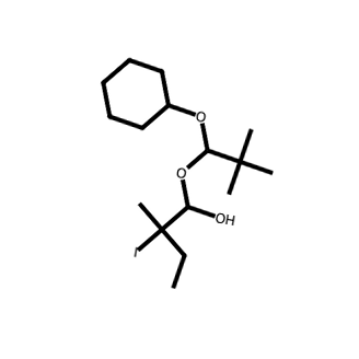 CCC(C)(I)C(O)OC(OC1CCCCC1)C(C)(C)C